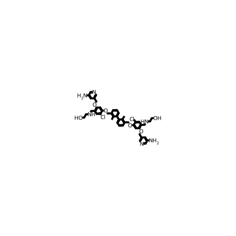 Cc1c(COc2cc(OCc3cncc(N)c3)c(CNCCO)cc2Cl)cccc1-c1cccc(COc2cc(OCc3cncc(N)c3)c(CNCCO)cc2Cl)c1C